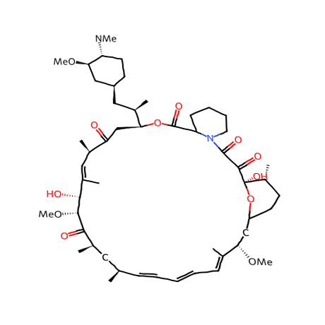 CN[C@@H]1CC[C@@H](C[C@@H](C)[C@@H]2CC(=O)[C@H](C)/C=C(\C)[C@@H](O)[C@@H](OC)C(=O)[C@H](C)C[C@H](C)/C=C/C=C/C=C(\C)[C@@H](OC)CC3CC[C@@H](C)[C@@](O)(O3)C(=O)C(=O)N3CCCCC3C(=O)O2)C[C@H]1OC